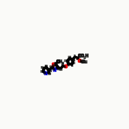 CCC(C)OC(Cc1ccc(OCCc2nc(-c3cccnc3)oc2C)cc1)C(=O)O